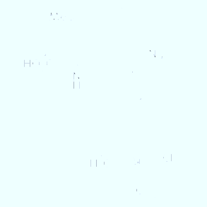 COc1ccnc(C#C[Si](C)(C)C)c1NC(=O)O